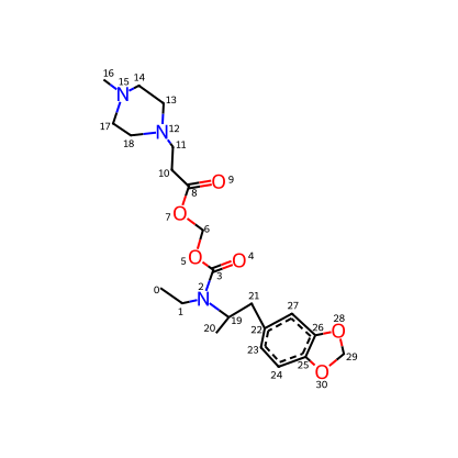 CCN(C(=O)OCOC(=O)CCN1CCN(C)CC1)C(C)Cc1ccc2c(c1)OCO2